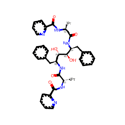 CC(C)[C@H](NC(=O)c1ccccn1)C(=O)N[C@@H](Cc1ccccc1)[C@H](O)[C@H](O)[C@H](Cc1ccccc1)NC(=O)[C@@H](NC(=O)c1ccccn1)C(C)C